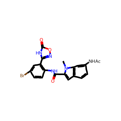 CC(=O)Nc1ccc2cc(C(=O)Nc3ccc(Br)cc3-c3noc(=O)[nH]3)n(C)c2c1